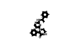 CC(Nc1nccc(N2CCNC(=O)C2c2ccccc2)n1)c1ccccc1